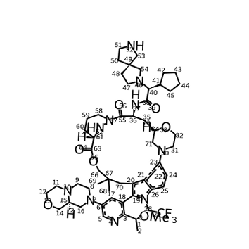 CO[C@@H](C)c1ncc(N2CCN3CCOC[C@@H]3C2)cc1-c1c2c3cc(ccc3n1CC(F)(F)F)N1CCO[C@@H](C[C@H](NC(=O)[C@H](C3CCCC3)N3CC[C@]4(CCNC4)C3)C(=O)N3CCC[C@H](N3)C(=O)OCC(C)(C)C2)C1